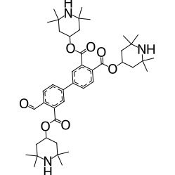 CC1(C)CC(OC(=O)c2cc(-c3ccc(C(=O)OC4CC(C)(C)NC(C)(C)C4)c(C(=O)OC4CC(C)(C)NC(C)(C)C4)c3)ccc2C=O)CC(C)(C)N1